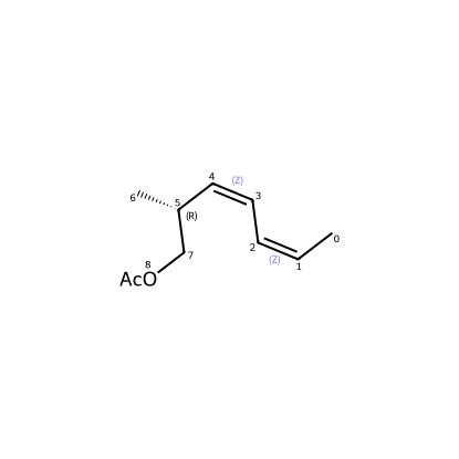 C/C=C\C=C/[C@@H](C)COC(C)=O